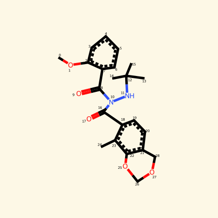 COc1ccccc1C(=O)N(NC(C)(C)C)C(=O)c1ccc2c(c1C)OCOC2